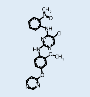 C=P(=O)c1ccccc1Nc1nc(Nc2ccc(Oc3ccncn3)cc2OC)ncc1Cl